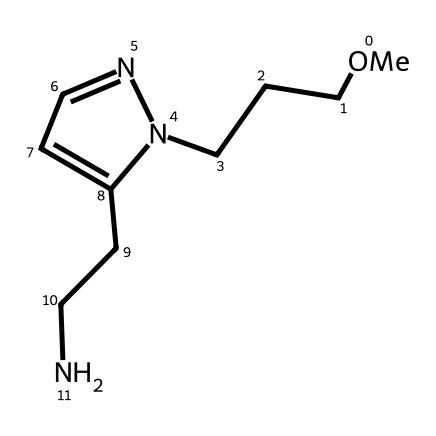 COCCCn1nccc1CCN